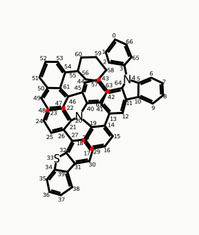 c1ccc(-n2c3ccccc3c3cc(-c4ccccc4N(c4ccccc4-c4cccc5c4sc4ccccc45)c4ccccc4-c4cccc5cccc(C6CCCCC6)c45)ccc32)cc1